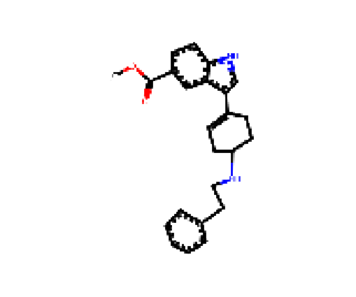 COC(=O)c1ccc2[nH]cc(C3=CCC(NCCc4ccccc4)CC3)c2c1